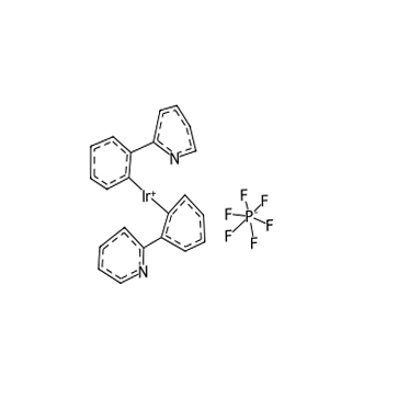 F[P-](F)(F)(F)(F)F.c1ccc(-c2cccc[c]2[Ir+][c]2ccccc2-c2ccccn2)nc1